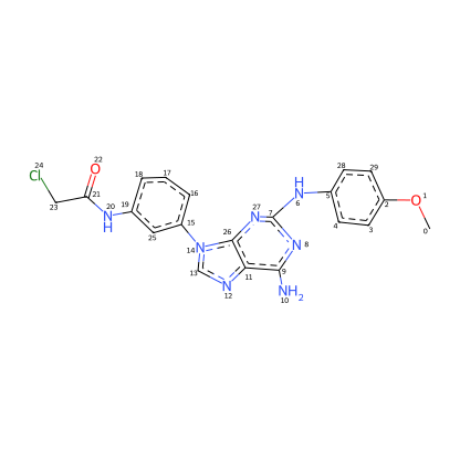 COc1ccc(Nc2nc(N)c3ncn(-c4cccc(NC(=O)CCl)c4)c3n2)cc1